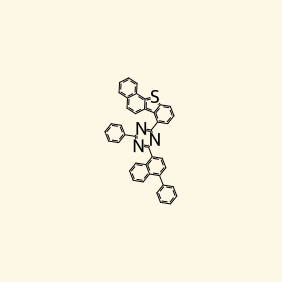 c1ccc(-c2nc(-c3ccc(-c4ccccc4)c4ccccc34)nc(-c3cccc4sc5c6ccccc6ccc5c34)n2)cc1